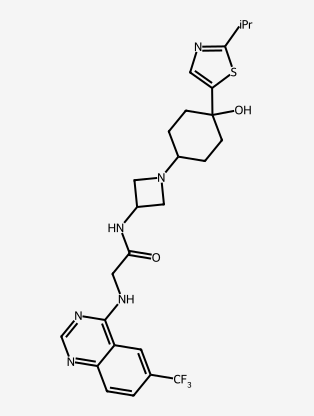 CC(C)c1ncc(C2(O)CCC(N3CC(NC(=O)CNc4ncnc5ccc(C(F)(F)F)cc45)C3)CC2)s1